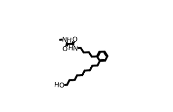 CNC(=O)C(=O)NCCCCc1ccccc1CCCCCCCCCO